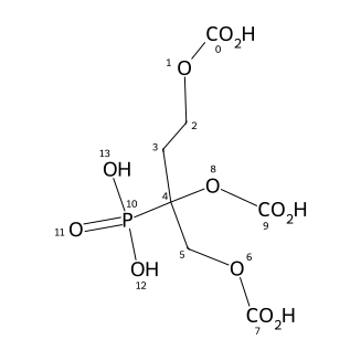 O=C(O)OCCC(COC(=O)O)(OC(=O)O)P(=O)(O)O